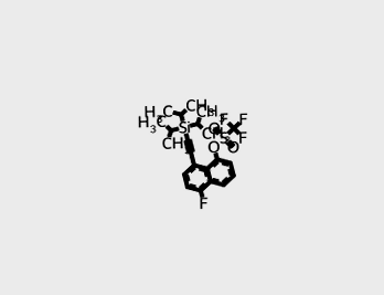 CC(C)[Si](C#Cc1ccc(F)c2cccc(OS(=O)(=O)C(F)(F)F)c12)(C(C)C)C(C)C